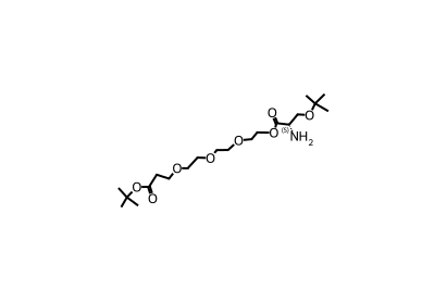 CC(C)(C)OC[C@H](N)C(=O)OCCOCCOCCOCCC(=O)OC(C)(C)C